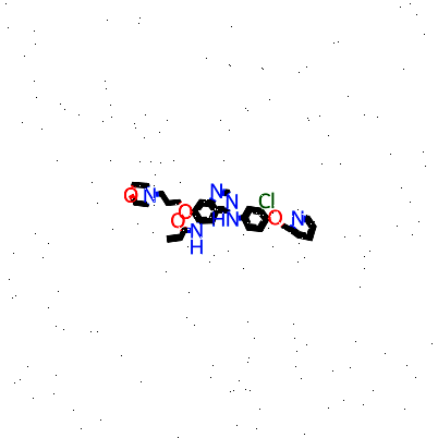 C=CC(=O)Nc1cc2c(Nc3ccc(OCc4ccccn4)c(Cl)c3)ncnc2cc1OCCCN1CCOCC1